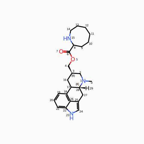 CN1C[C@H](COC(=O)C2CCCCCCN2)CC2c3cccc4[nH]cc(c34)C[C@H]21